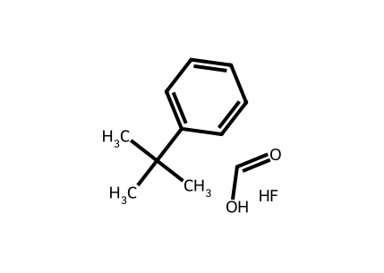 CC(C)(C)c1ccccc1.F.O=CO